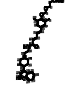 COCCOCOc1c(C)cc(C=CC=CC(=O)NCCN2CCC(c3c[nH]c4ccccc34)CC2)cc1C